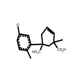 Cc1ccc(Cl)cc1C1(C(=O)O)CC=CC(C)(C(=O)O)C1